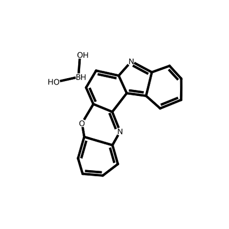 OBO.c1ccc2oc3ccc4nc5ccccc5c4c3nc2c1